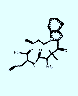 C=CCCn1c(C(=O)C(C)(C)C(N)C(=O)NC(CC=O)C(=O)O)cc2ccccc21